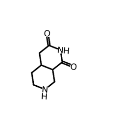 O=C1CC2CCNCC2C(=O)N1